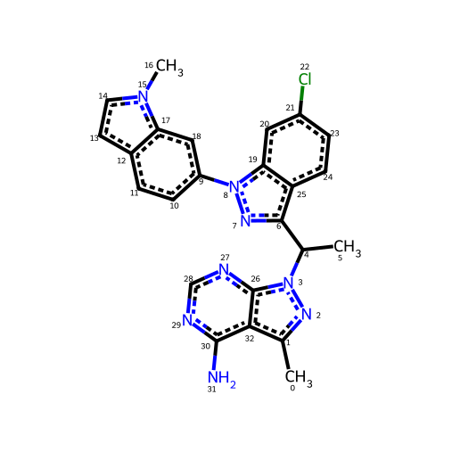 Cc1nn(C(C)c2nn(-c3ccc4ccn(C)c4c3)c3cc(Cl)ccc23)c2ncnc(N)c12